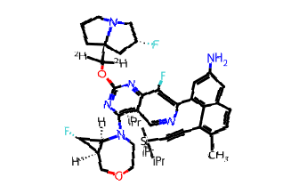 [2H]C([2H])(Oc1nc(N2CCOC[C@H]3[C@H](F)[C@H]32)c2cnc(-c3cc(N)cc4ccc(C)c(C#C[Si](C(C)C)(C(C)C)C(C)C)c34)c(F)c2n1)[C@@]12CCCN1C[C@H](F)C2